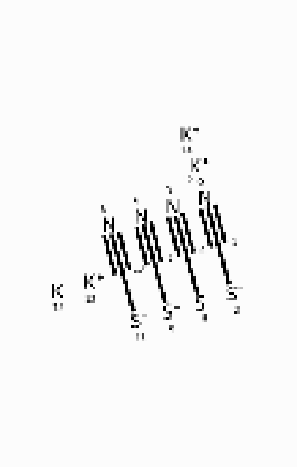 N#C[S-].N#C[S-].N#C[S-].N#C[S-].[K+].[K+].[K+].[K+]